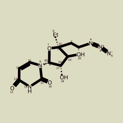 CC[C@@]1(CCN=[N+]=[N-])O[C@@H](n2ccc(=O)[nH]c2=O)[C@@H](O)C1O